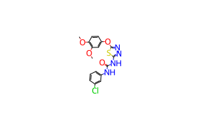 COc1ccc(Oc2nnc(NC(=O)Nc3cccc(Cl)c3)s2)cc1OC